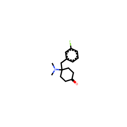 CN(C)C1(Cc2cccc(F)c2)CCC(=O)CC1